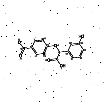 O=C(O)C(Oc1ncc([N+](=O)[O-])cn1)c1cccc(Cl)c1